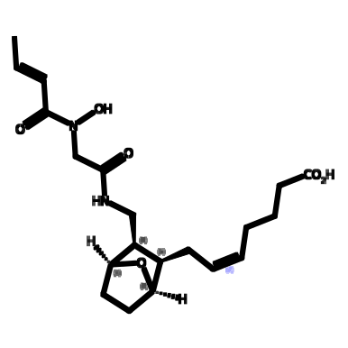 CC=CC(=O)N(O)CC(=O)NC[C@H]1[C@@H](C/C=C\CCCC(=O)O)[C@H]2CC[C@@H]1O2